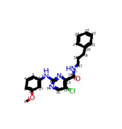 COc1cccc(Nc2ncc(Cl)c(C(=O)NCCCc3ccccc3)n2)c1